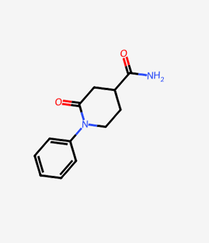 NC(=O)C1CCN(c2ccccc2)C(=O)C1